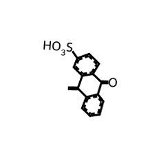 C=C1c2ccccc2C(=O)c2ccc(S(=O)(=O)O)cc21